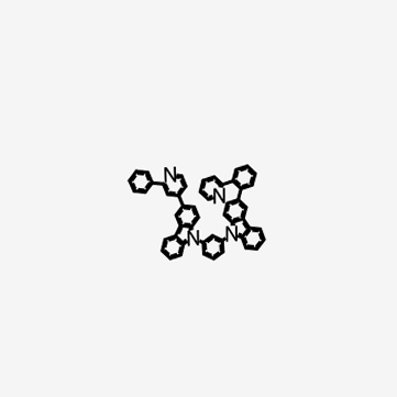 c1ccc(-c2cc(-c3ccc4c(c3)c3ccccc3n4-c3cccc(-n4c5ccccc5c5cc(-c6ccccc6-c6ccccn6)ccc54)c3)ccn2)cc1